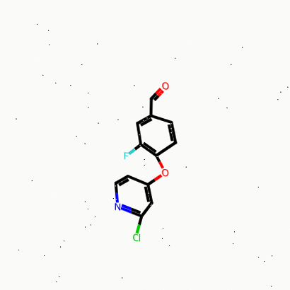 O=Cc1ccc(Oc2ccnc(Cl)c2)c(F)c1